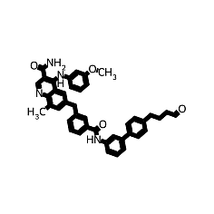 COc1cccc(Nc2c(C(N)=O)cnc3c(C)cc(Cc4cccc(C(=O)Nc5cccc(-c6ccc(CCCC=O)cc6)c5)c4)cc23)c1